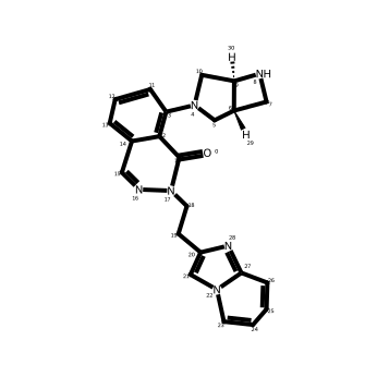 O=c1c2c(N3C[C@H]4CN[C@@H]4C3)cccc2cnn1CCc1cn2ccccc2n1